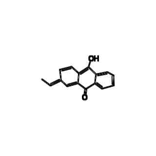 C/C=c1\ccc2c(c1)C(=O)c1ccccc1C=2O